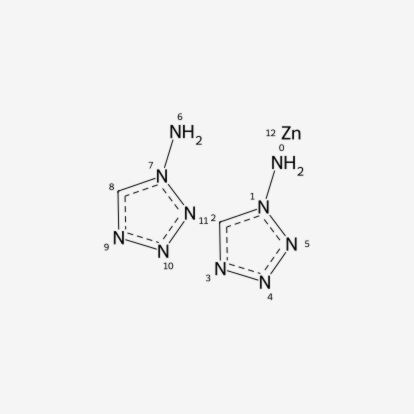 Nn1cnnn1.Nn1cnnn1.[Zn]